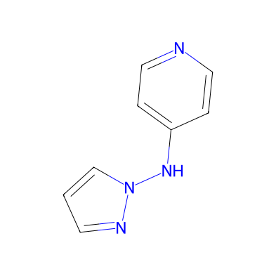 c1cnn(Nc2ccncc2)c1